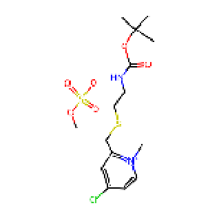 COS(=O)(=O)[O-].C[n+]1ccc(Cl)cc1CSCCNC(=O)OC(C)(C)C